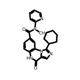 CN(C(=O)c1ccc2[nH]c(=O)c3cnc(C4CCCCC4)n3c2c1)c1ccccn1